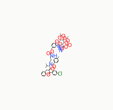 COC(=O)C1O[C@@H](Oc2ccc(COC(=O)NCCCN(C(=O)c3ccc(C)cc3)[C@@H](c3oc4cc(Cl)ccc4c(=O)c3Cc3ccccc3)C(C)C)cc2N=[N+]=[N-])C(OC(C)=O)[C@@H](OC(C)=O)[C@@H]1OC(C)=O